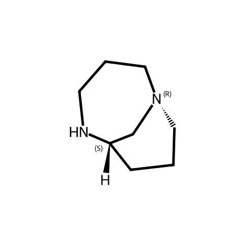 C1CN[C@H]2CCC[N@@](C1)C2